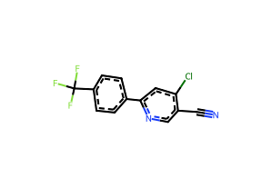 N#Cc1cnc(-c2ccc(C(F)(F)F)cc2)cc1Cl